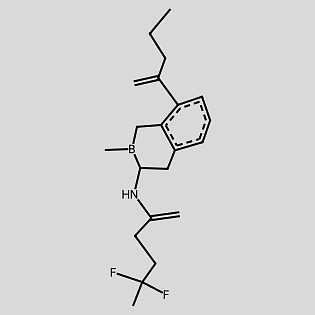 C=C(CCC(C)(F)F)NC1Cc2cccc(C(=C)CCC)c2CB1C